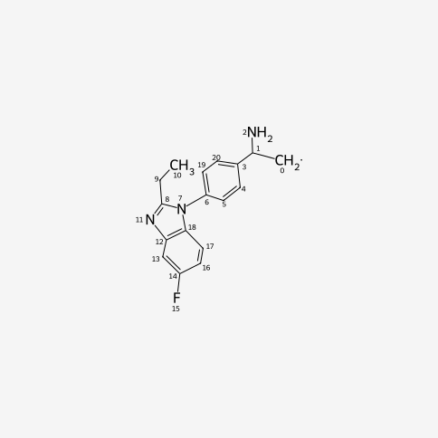 [CH2]C(N)c1ccc(-n2c(CC)nc3cc(F)ccc32)cc1